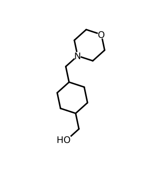 OCC1CCC(CN2CCOCC2)CC1